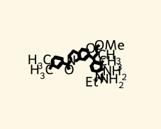 CCN(N)c1ccc(C(c2ccc3c(c2)CN(C(=O)c2ccc(C)c(C)c2)CC3)C(C)C(=O)OC)c(C)c1N